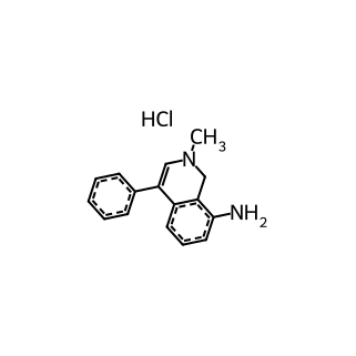 CN1C=C(c2ccccc2)c2cccc(N)c2C1.Cl